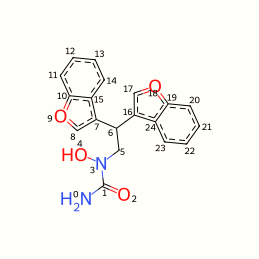 NC(=O)N(O)CC(c1coc2ccccc12)c1coc2ccccc12